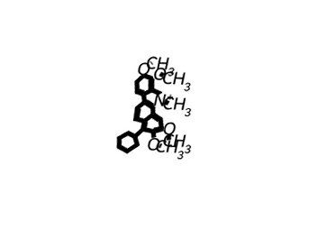 COC1=c2c[n+](C)c3c(ccc4c(C5CCCCC5)c(OC)c(OC)cc43)c2=CCC1OC